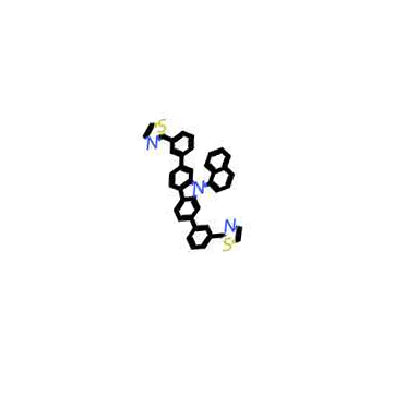 c1cc(-c2ccc3c4ccc(-c5cccc(-c6nccs6)c5)cc4n(-c4cccc5ccccc45)c3c2)cc(-c2nccs2)c1